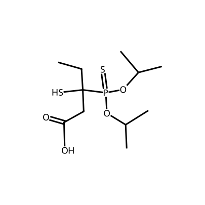 CCC(S)(CC(=O)O)P(=S)(OC(C)C)OC(C)C